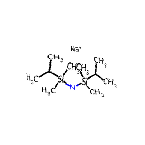 CC(C)[Si](C)(C)[N-][Si](C)(C)C(C)C.[Na+]